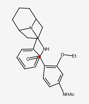 CCOc1cc(NC(C)=O)ccc1C(=O)NC1CC2CCCC(C1)N2Cc1ccccc1